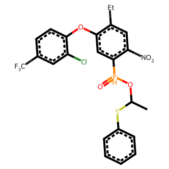 CCc1cc([N+](=O)[O-])c([PH](=O)OC(C)Sc2ccccc2)cc1Oc1ccc(C(F)(F)F)cc1Cl